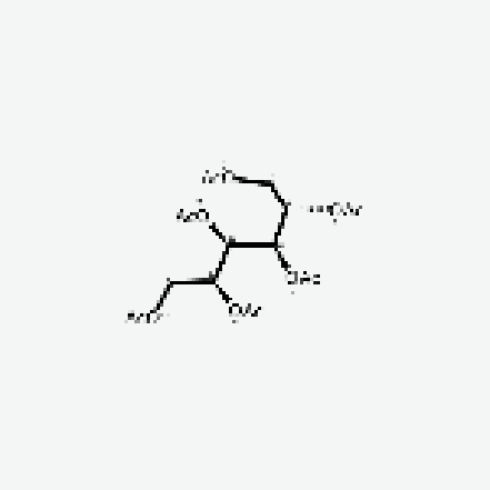 CC(=O)OC[C@H](OC(C)=O)[C@@H](OC(C)=O)[C@H](OC(C)=O)[C@H](COC(C)=O)OC(C)=O